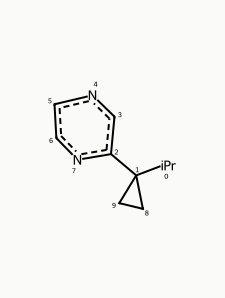 CC(C)C1(c2cnccn2)CC1